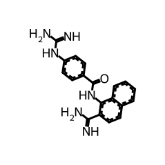 N=C(N)Nc1ccc(C(=O)Nc2c(C(=N)N)ccc3ccccc23)cc1